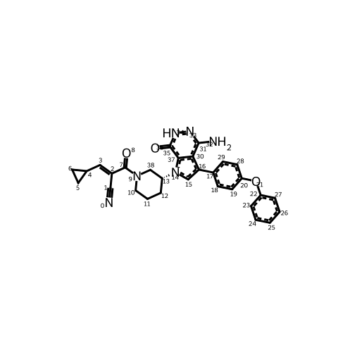 N#C/C(=C\C1CC1)C(=O)N1CCC[C@@H](n2cc(-c3ccc(Oc4ccccc4)cc3)c3c(N)n[nH]c(=O)c32)C1